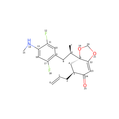 C=CC[C@H]1C[C@]2([C@H](C)Cc3cc(F)c(NC)cc3F)OCOC2=CC1=O